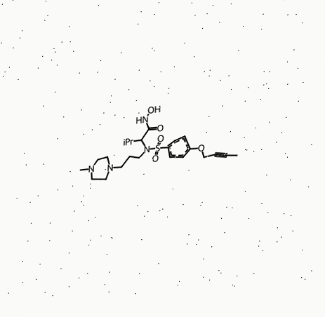 CC#CCOc1ccc(S(=O)(=O)N(CCCN2CCN(C)CC2)C(C(=O)NO)C(C)C)cc1